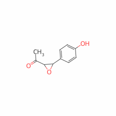 CC(=O)C1OC1c1ccc(O)cc1